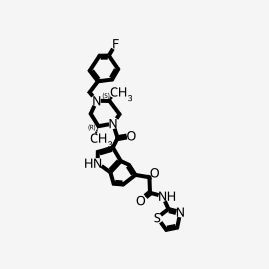 C[C@@H]1CN(Cc2ccc(F)cc2)[C@@H](C)CN1C(=O)c1c[nH]c2ccc(C(=O)C(=O)Nc3nccs3)cc12